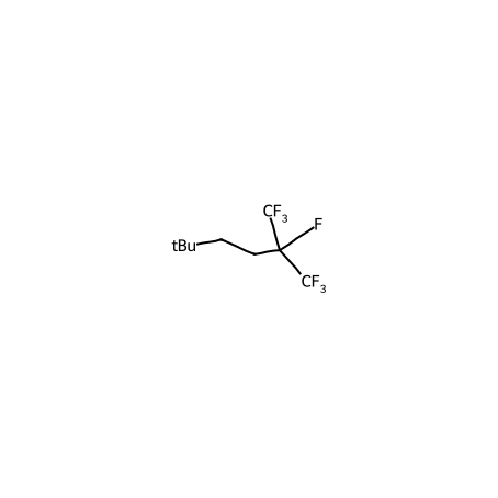 CC(C)(C)CCC(F)(C(F)(F)F)C(F)(F)F